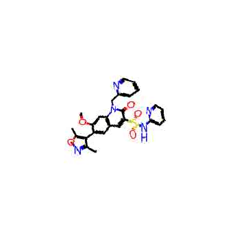 COc1cc2c(cc1-c1c(C)noc1C)cc(S(=O)(=O)Nc1ccccn1)c(=O)n2Cc1ccccn1